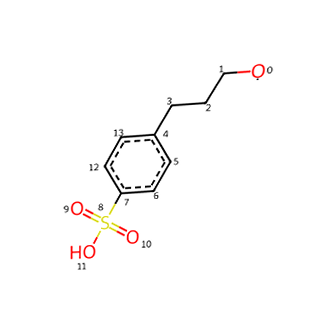 [O]CCCc1ccc(S(=O)(=O)O)cc1